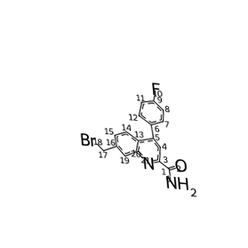 NC(=O)c1cc(-c2ccc(F)cc2)c2ccc(CBr)cc2n1